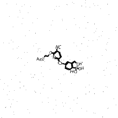 [C-]#[N+]c1ccc(Oc2ccc3c(c2)C[OH+][B-]3(O)O)nc1OCCOC(C)=O